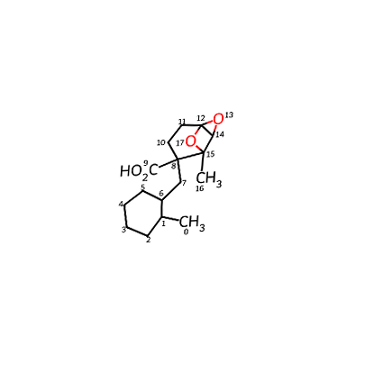 CC1CCCCC1CC1(C(=O)O)CCC23OC2C1(C)O3